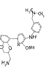 COc1nc(-c2cccc3c2OC(CN)CO3)ccc1Nc1cccc(CN(C)C)c1